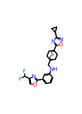 FC(F)c1coc(-c2cccc(NCC34CCC(c5nc(C6CC6)no5)(CC3)CC4)c2)n1